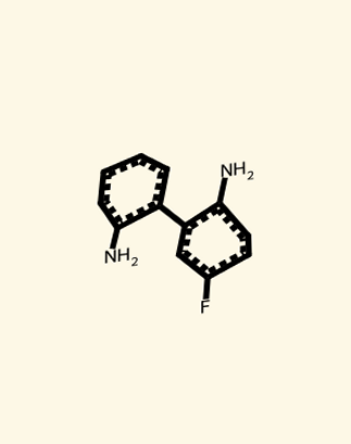 Nc1ccccc1-c1cc(F)ccc1N